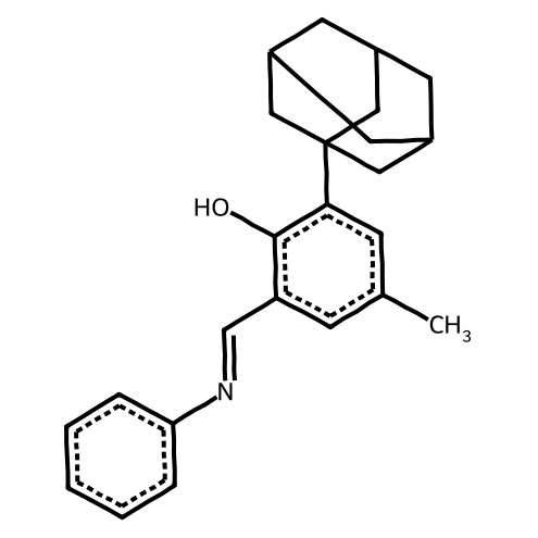 Cc1cc(/C=N/c2ccccc2)c(O)c(C23CC4CC(CC(C4)C2)C3)c1